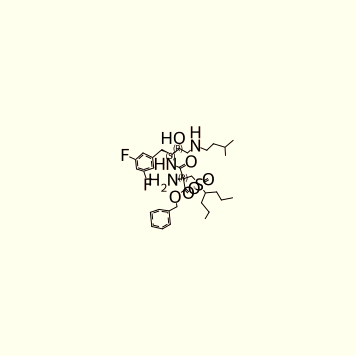 CCCC(CCC)S(=O)(=O)C[C@@](N)(C(=O)N[C@@H](Cc1cc(F)cc(F)c1)[C@H](O)CNCCC(C)C)C(=O)OCc1ccccc1